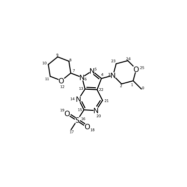 CC1CN(c2nn(C3CCCCO3)c3nc(S(C)(=O)=O)ncc23)CCO1